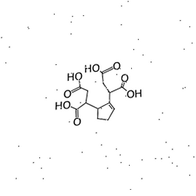 O=C(O)CC([C]1CCC=C1C(CC(=O)O)C(=O)O)C(=O)O